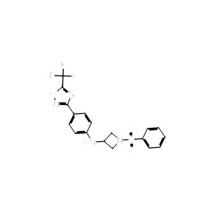 O=S(=O)(c1ccccc1)N1CC(Nc2ccc(-c3noc(C(F)(F)F)n3)cc2)C1